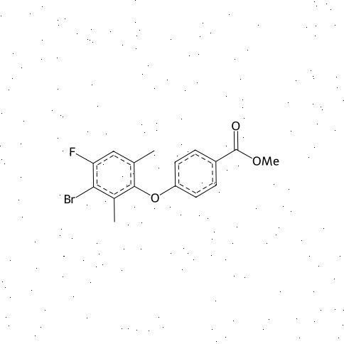 COC(=O)c1ccc(Oc2c(C)cc(F)c(Br)c2C)cc1